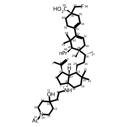 C=C(C)[C@@H]1CC[C@]2(NCCC3(O)CCN(C(C)=O)CC3)CCC(C)(C)[C@H](CC[C@@H](C)[C@@]3(C)CC=C(C4=CC[C@](CF)(C(=O)O)CC4)C(C)(C)[C@@H]3CCC)[C@@H]12